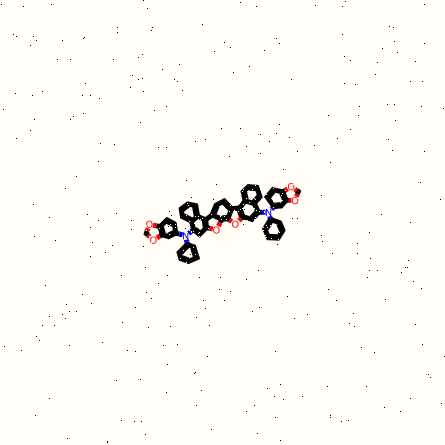 c1ccc(N(c2ccc3c(c2)OCO3)c2cc3oc4c(ccc5c4oc4cc(N(c6ccccc6)c6ccc7c(c6)OCO7)c6ccccc6c45)c3c3ccccc23)cc1